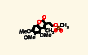 COc1cc2oc(=O)c(CCOS(C)(=O)=O)c(C)c2c(OC)c1OC